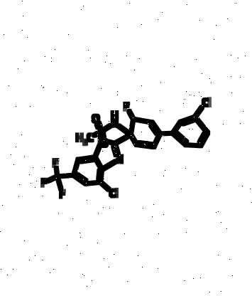 CS(=O)(=O)NC1(c2nc3c(Cl)cc(C(F)(F)F)cc3[nH]2)C=CC(c2cccc(Cl)c2)=CC1F